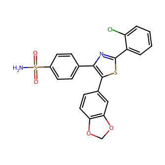 NS(=O)(=O)c1ccc(-c2nc(-c3ccccc3Cl)sc2-c2ccc3c(c2)OCO3)cc1